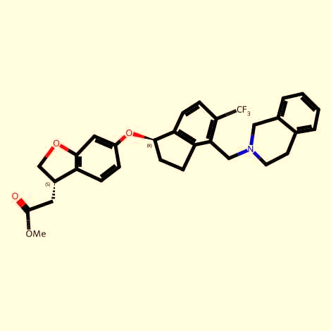 COC(=O)C[C@@H]1COc2cc(O[C@@H]3CCc4c3ccc(C(F)(F)F)c4CN3CCc4ccccc4C3)ccc21